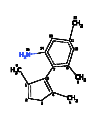 CC1=CCC(C)=C1c1c(C)cc(C)cc1N